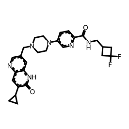 O=C(NCC1CC(F)(F)C1)c1ccc(N2CCN(Cc3cnc4cc(C5CC5)c(=O)[nH]c4c3)CC2)cn1